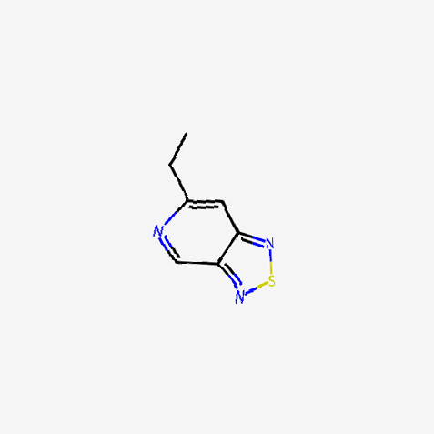 CCc1cc2nsnc2cn1